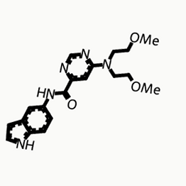 COCCN(CCOC)c1cc(C(=O)Nc2ccc3[nH]ccc3c2)ncn1